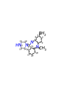 Bc1ccc2c(c1)N=C(N1CCNCC1)c1ccccc1N2C